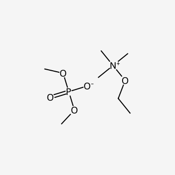 CCO[N+](C)(C)C.COP(=O)([O-])OC